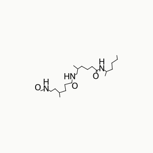 CCCCC(C)NC(=O)CCCC(C)CNC(=O)CCC(C)CCNC=O